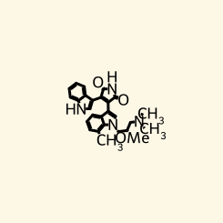 COC(CN(C)C)Cn1cc(C2=C(c3c[nH]c4ccccc34)C(=O)NC2=O)c2cccc(C)c21